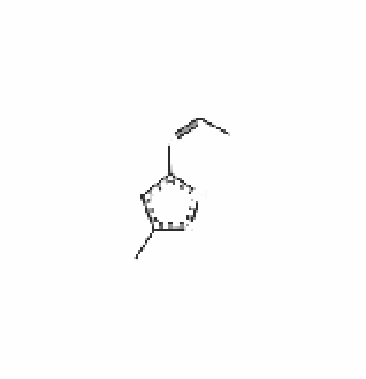 C/C=N\c1cc(C)n[nH]1